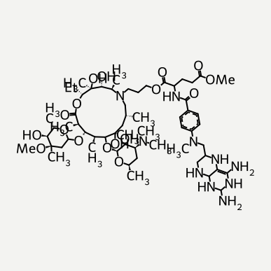 CC[C@H]1OC(=O)[C@H](C)[C@@H](OC2C[C@@](C)(OC)[C@@H](O)[C@H](C)O2)[C@H](C)C(O[C@@H]2O[C@H](C)C[C@H](N(C)C)[C@H]2O)[C@](C)(O)C[C@@H](C)CN(CCCOC(=O)C(CCC(=O)OC)NC(=O)c2ccc(N(C)CC3CNC4NC(N)NC(N)=C4N3)cc2)[C@H](C)[C@@H](O)[C@]1(C)O